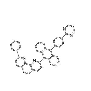 c1ccc(-c2ccc3ccc4ccc(-c5c6ccccc6c(-c6ccc(-c7ncccn7)cc6)c6ccccc56)nc4c3n2)cc1